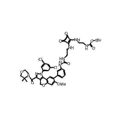 COc1cc2c(cc1-c1cccc(NC(=O)NCCNc3c(NCCNC(=O)OC(C)(C)C)c(=O)c3=O)c1)-c1c(c(C(=O)N3CCOCC3(C)C)nn1-c1cc(Cl)cc(Cl)c1)CO2